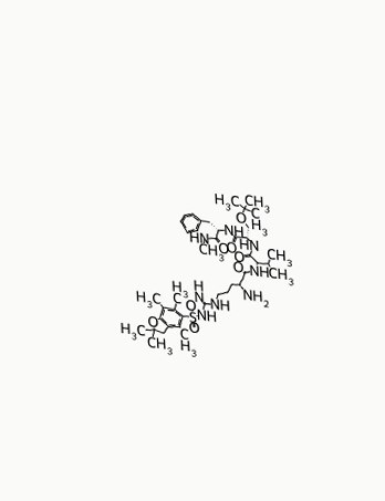 CNC(=O)[C@H](Cc1ccccc1)NC(=O)[C@H](COC(C)(C)C)NC(=O)[C@@H](NC(=O)[C@@H](N)CCCNC(=N)NS(=O)(=O)c1c(C)c(C)c2c(c1C)CC(C)(C)O2)C(C)C